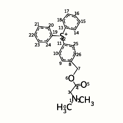 CN(C)CC(=O)OCc1ccc([S+](c2ccccc2)c2ccccc2)cc1